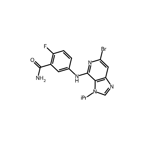 CC(C)n1cnc2cc(Br)nc(Nc3ccc(F)c(C(N)=O)c3)c21